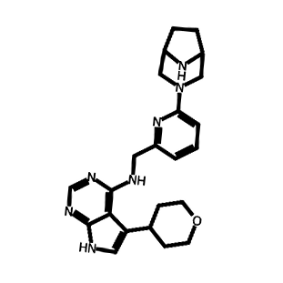 c1cc(CNc2ncnc3[nH]cc(C4CCOCC4)c23)nc(N2CC3CCC(C2)N3)c1